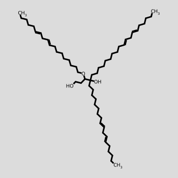 CCCCCC=CCC=CCCCCCCCCCC(O)(CCCCCCCCC=CCC=CCCCCC)C(CCO)OCCCCCCCCC=CCC=CCCCCC